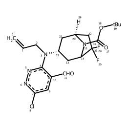 C=CCN(c1nnc(Cl)cc1C=O)[C@H]1CC2N(C(=O)OC(C)(C)C)[C@@H](C1)CC2(F)F